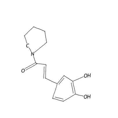 O=C(C=Cc1ccc(O)c(O)c1)N1CCCCC1